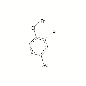 CC(=O)c1ccc(OC(C)C)c(C(C)C)c1